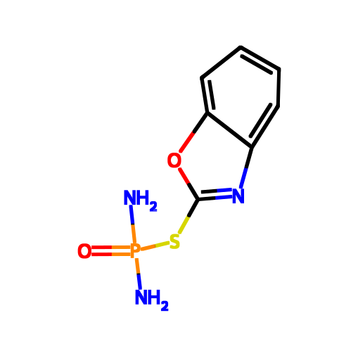 NP(N)(=O)Sc1nc2ccccc2o1